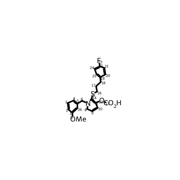 COc1cccc(CN2CC=CC(OC(=O)O)=C2SCCCc2ccc(F)cc2)c1